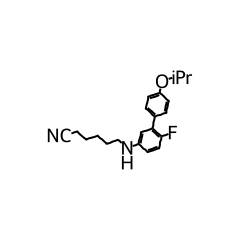 CC(C)Oc1ccc(-c2cc(NCCCCCC#N)ccc2F)cc1